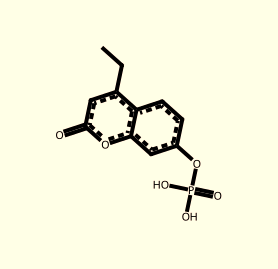 CCc1cc(=O)oc2cc(OP(=O)(O)O)ccc12